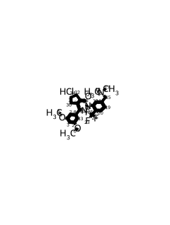 COc1cc(OC)cc(-c2nn(-c3cc(CN(C)C)ccc3C(F)(F)F)c(=O)c3c2CCC3)c1.Cl